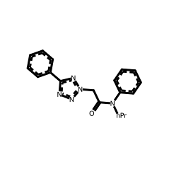 CCCN(C(=O)Cn1nnc(-c2ccccc2)n1)c1ccccc1